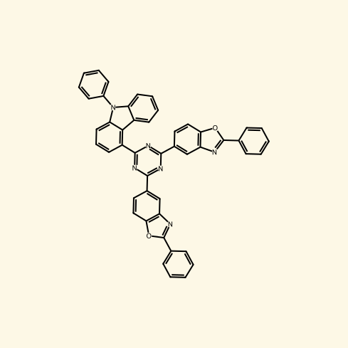 c1ccc(-c2nc3cc(-c4nc(-c5ccc6oc(-c7ccccc7)nc6c5)nc(-c5cccc6c5c5ccccc5n6-c5ccccc5)n4)ccc3o2)cc1